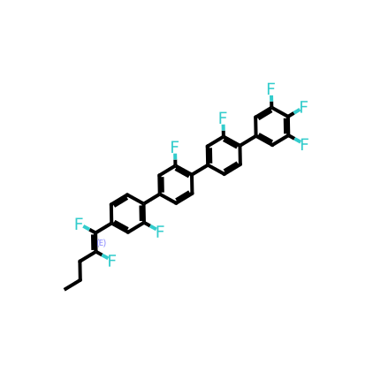 CCC/C(F)=C(\F)c1ccc(-c2ccc(-c3ccc(-c4cc(F)c(F)c(F)c4)c(F)c3)c(F)c2)c(F)c1